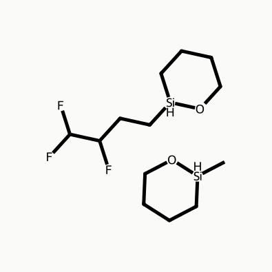 C[SiH]1CCCCO1.FC(F)C(F)CC[SiH]1CCCCO1